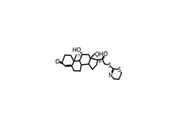 CC12CCC(=O)C=C1CCC1C2[C@@H](O)CC2(C)C1CC[C@]2(O)C(=O)CSC1=NCCCS1